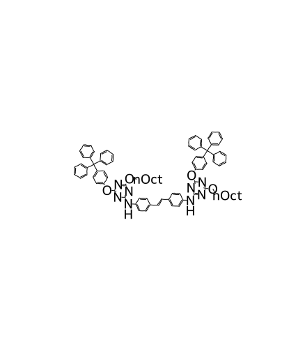 CCCCCCCCOc1nc(Nc2ccc(/C=C/c3ccc(Nc4nc(OCCCCCCCC)nc(Oc5ccc(C(c6ccccc6)(c6ccccc6)c6ccccc6)cc5)n4)cc3)cc2)nc(Oc2ccc(C(c3ccccc3)(c3ccccc3)c3ccccc3)cc2)n1